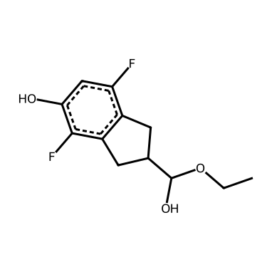 CCOC(O)C1Cc2c(F)cc(O)c(F)c2C1